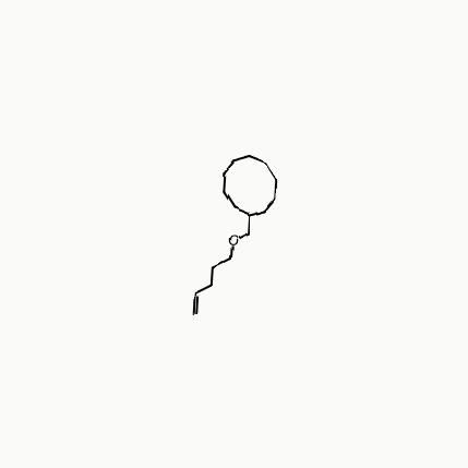 C=CCCCOC[C]1CCCCCCCCC1